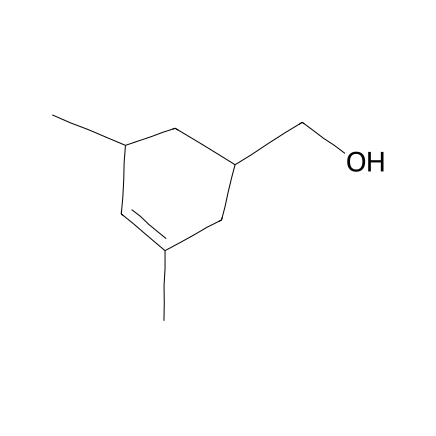 CC1=CC(C)CC(CO)C1